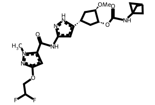 CO[C@H]1C[C@@H](c2cc(NC(=O)c3cc(OCC(F)F)nn3C)n[nH]2)C[C@H]1OC(=O)NC12CC(C1)C2